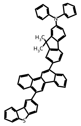 CC1(C)c2cc(-c3cc4c5ccccc5c(-c5ccc6sc7ccccc7c6c5)cc4c4ccccc34)ccc2-c2ccc(N(c3ccccc3)c3ccccc3)cc21